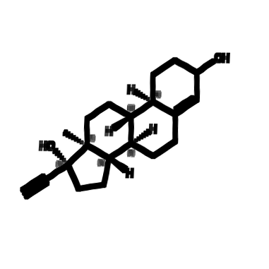 C#C[C@]1(O)CC[C@H]2[C@@H]3CCC4=CC(O)CC[C@@H]4[C@H]3CC[C@@]21C